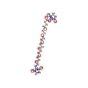 O=C(CCCOCCOCCOCCOCCOCCOCCN1C(=O)C=CC1=O)ON1C(=O)CCC1=O